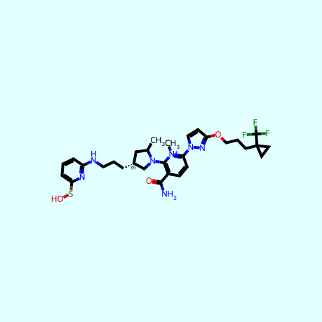 CC1C[C@@H](CCCNc2cccc(SO)n2)CN1c1c(C(N)=O)ccc(-n2ccc(OCCCC3(C(F)(F)F)CC3)n2)[n+]1C